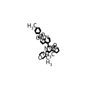 Cc1ccc(S(=O)(=O)n2ccc3c(-c4nc(N5CCOC[C@H]5C)cc(C5(C)CCCS5(=O)=O)n4)ccnc32)cc1